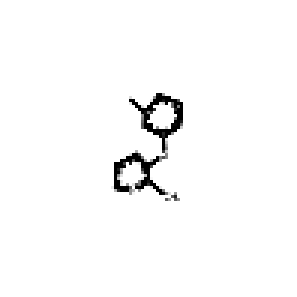 Cc1ncccc1Oc1cc[c]c(I)c1